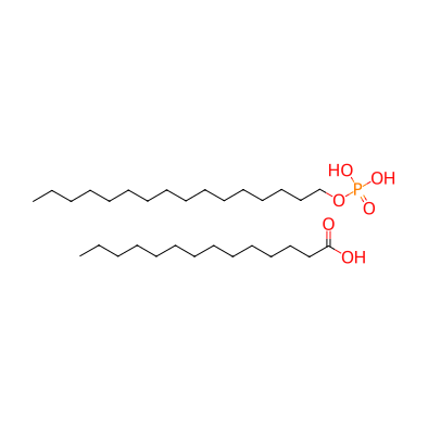 CCCCCCCCCCCCCC(=O)O.CCCCCCCCCCCCCCCCOP(=O)(O)O